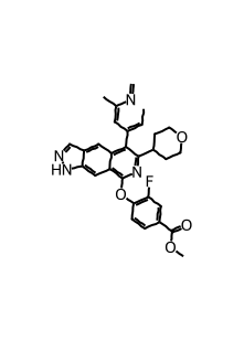 C=N/C(C)=C\C(=C/C)c1c(C2CCOCC2)nc(Oc2ccc(C(=O)OC)cc2F)c2cc3[nH]ncc3cc12